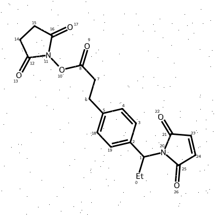 CCC(c1ccc(CCC(=O)ON2C(=O)CCC2=O)cc1)N1C(=O)C=CC1=O